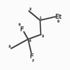 CCC(C)CC(C)(F)F